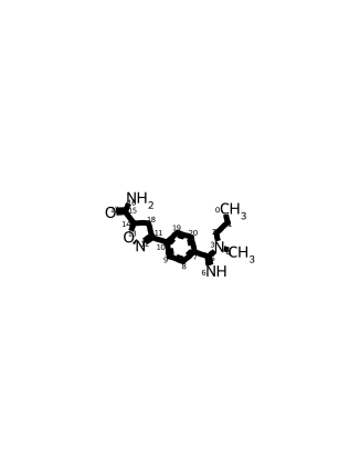 CCCN(C)C(=N)c1ccc(C2=NOC(C(N)=O)C2)cc1